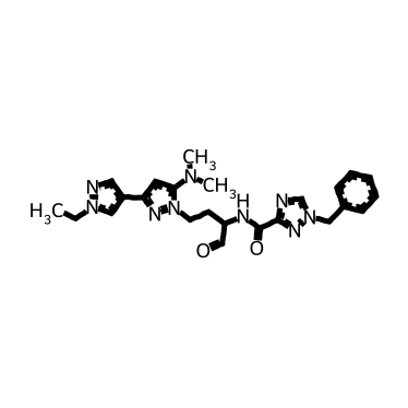 CCn1cc(-c2cc(N(C)C)n(CCC(C=O)NC(=O)c3ncn(Cc4ccccc4)n3)n2)cn1